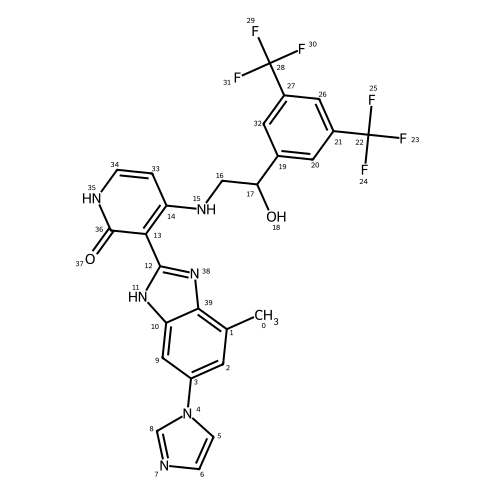 Cc1cc(-n2ccnc2)cc2[nH]c(-c3c(NCC(O)c4cc(C(F)(F)F)cc(C(F)(F)F)c4)cc[nH]c3=O)nc12